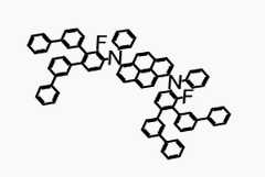 Fc1c(N(c2ccccc2)c2ccc3ccc4c(N(c5ccccc5)c5ccc(-c6cccc(-c7ccccc7)c6)c(-c6cccc(-c7ccccc7)c6)c5F)ccc5ccc2c3c54)ccc(-c2cccc(-c3ccccc3)c2)c1-c1cccc(-c2ccccc2)c1